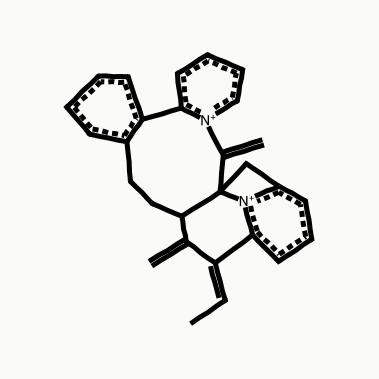 C=C1/C(=C\C)c2cccc3[n+]2C2(C3)C(=C)[n+]3ccccc3-c3ccccc3CCC12